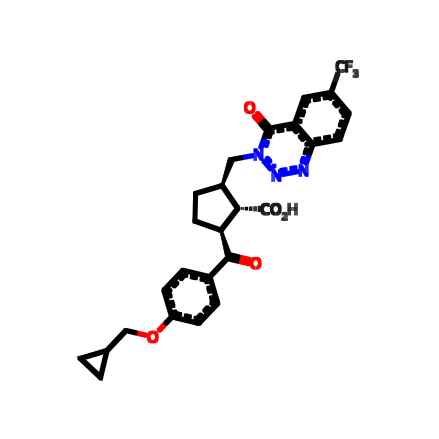 O=C(O)[C@H]1[C@H](Cn2nnc3ccc(C(F)(F)F)cc3c2=O)CC[C@@H]1C(=O)c1ccc(OCC2CC2)cc1